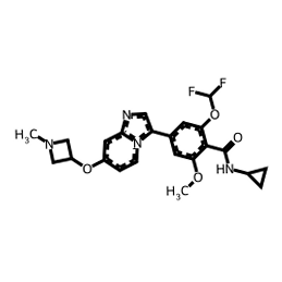 COc1cc(-c2cnc3cc(OC4CN(C)C4)ccn23)cc(OC(F)F)c1C(=O)NC1CC1